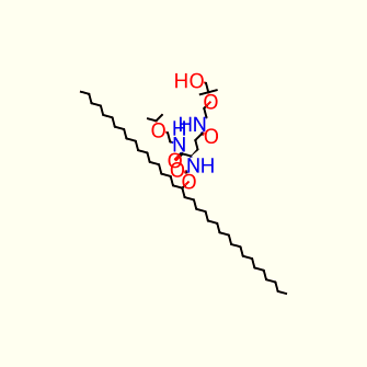 CCCCCCCCCCCCCCCCCCC(CCCCCCCCCCCCCCCCC)OC(=O)N[C@H](CCC(=O)NCCOC(C)(C)CO)C(=O)NCCOC(C)C